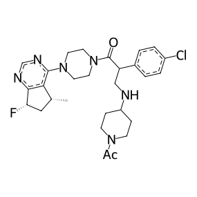 CC(=O)N1CCC(NCC(C(=O)N2CCN(c3ncnc4c3[C@H](C)C[C@@H]4F)CC2)c2ccc(Cl)cc2)CC1